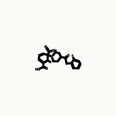 CC1C(C(=O)O)=CC=CC1(C(=O)O)N1CCC(C(=O)Cc2ccccc2F)CC1